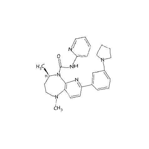 C[C@@H]1CCN(C)c2ccc(-c3cccc(N4CCCC4)c3)nc2N1C(=O)Nc1ccccn1